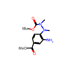 COC(=O)c1ccc(N(C)N(C)C(=O)OC(C)(C)C)c(N)c1